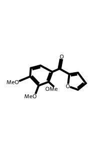 COc1ccc(C(=O)c2ccco2)c(OC)c1OC